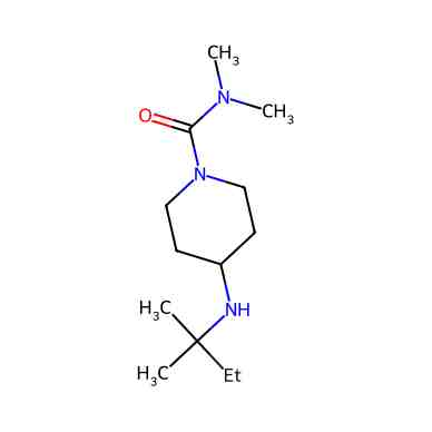 CCC(C)(C)NC1CCN(C(=O)N(C)C)CC1